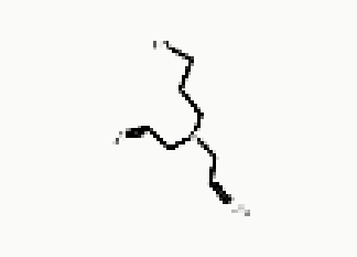 C=CCN(CC=C)CCC[NH]